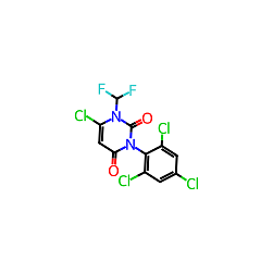 O=c1cc(Cl)n(C(F)F)c(=O)n1-c1c(Cl)cc(Cl)cc1Cl